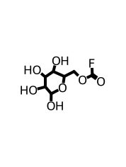 O=C(F)OCC1OC(O)C(O)C(O)C1O